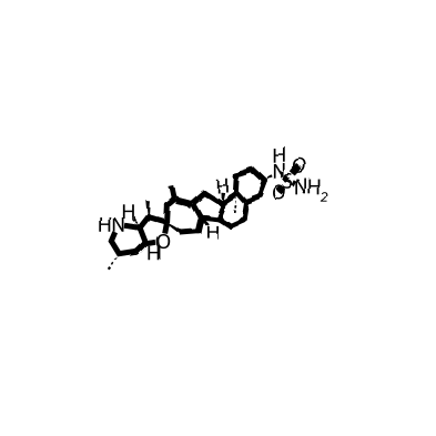 CC1=C2C[C@H]3C(CCC4C[C@@H](NS(N)(=O)=O)CC[C@@]43C)[C@@H]2CC[C@@]2(C1)O[C@@H]1C[C@H](C)CN[C@H]1[C@H]2C